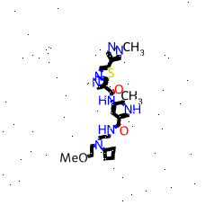 COCCN(CCNC(=O)C1=CNC(C)C(NC(=O)c2cnn3cc(-c4cnn(C)c4)sc23)=C1)C1CCC1